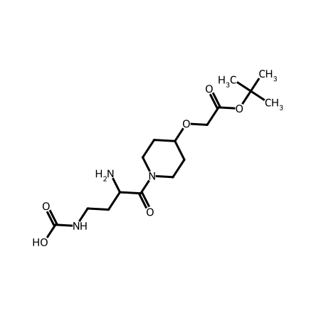 CC(C)(C)OC(=O)COC1CCN(C(=O)C(N)CCNC(=O)O)CC1